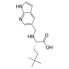 CC(C)(C)CC[C@H](NCc1cnc2[nH]ccc2c1)C(=O)O